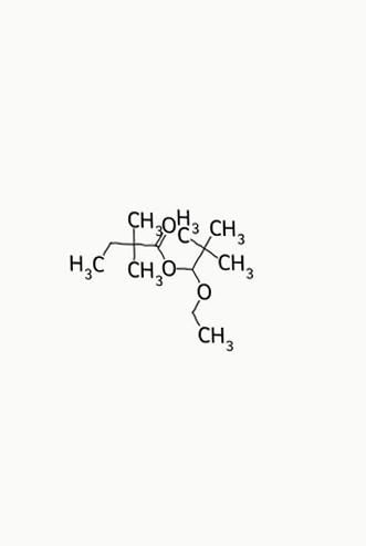 CCOC(OC(=O)C(C)(C)CC)C(C)(C)C